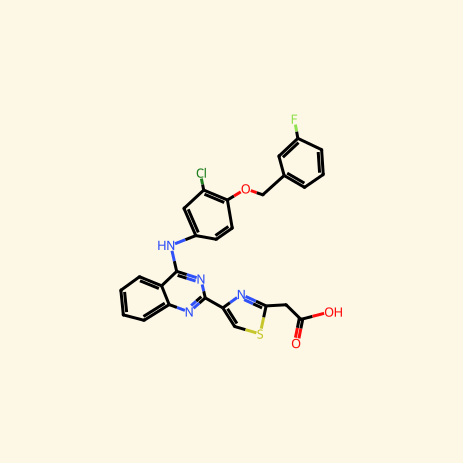 O=C(O)Cc1nc(-c2nc(Nc3ccc(OCc4cccc(F)c4)c(Cl)c3)c3ccccc3n2)cs1